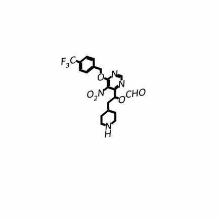 O=COC(CC1CCNCC1)c1ncnc(OCc2ccc(C(F)(F)F)cc2)c1[N+](=O)[O-]